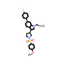 CC(C)Oc1ccc(S(=O)(=O)N2CCC(c3cn(CC=O)c4cc(-c5ccc(F)cc5)ccc34)C2)cc1